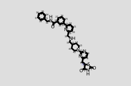 O=C1NC(=O)/C(=C/c2ccnc(N3CCC(CNCc4cccc(-c5cccc(C(=O)NCc6ccccc6)c5)n4)CC3)n2)S1